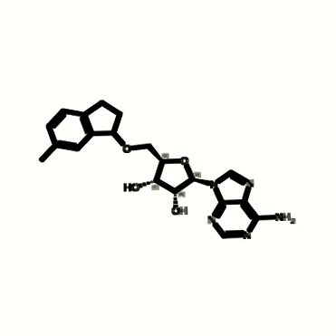 Cc1ccc2c(c1)C(OC[C@H]1O[C@@H](n3cnc4c(N)ncnc43)[C@H](O)[C@@H]1O)CC2